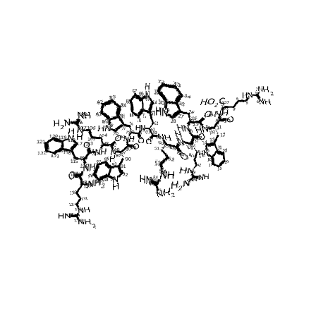 N=C(N)NCCC[C@H](NC(=O)[C@H](Cc1c[nH]c2ccccc12)NC(=O)[C@H](Cc1c[nH]c2ccccc12)NC(=O)[C@H](CCCNC(=N)N)NC(=O)[C@H](CCCNC(=N)N)NC(=O)[C@H](Cc1c[nH]c2ccccc12)NC(=O)[C@H](Cc1c[nH]c2ccccc12)NC(=O)[C@H](Cc1c[nH]c2ccccc12)NC(=O)[C@H](CCCNC(=N)N)NC(=O)[C@H](Cc1c[nH]c2ccccc12)NC(=O)[C@@H](N)CCCNC(=N)N)C(=O)O